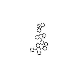 c1ccc(-c2c3ccccc3c(-c3cccc4oc5cc(-c6c7ccccc7c(-c7ccc8sc9ccccc9c8c7)c7ccccc67)ccc5c34)c3ccccc23)cc1